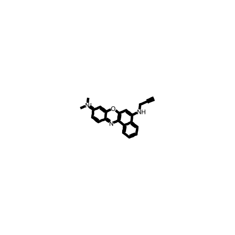 C#CCNc1cc2oc3cc(=[N+](C)C)ccc-3nc2c2ccccc12